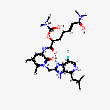 Cc1cc(NC(=O)C(CC/C=C/C(=O)N(C)C)OC(=O)N(C)C)c(=O)n(Cc2nc3c(F)cnc(CC(C)C)c3[nH]2)c1C